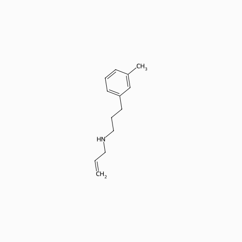 C=CCNCCCc1cccc(C)c1